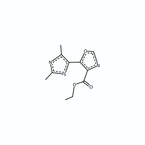 CCOC(=O)c1ncoc1-c1sc(C)nc1C